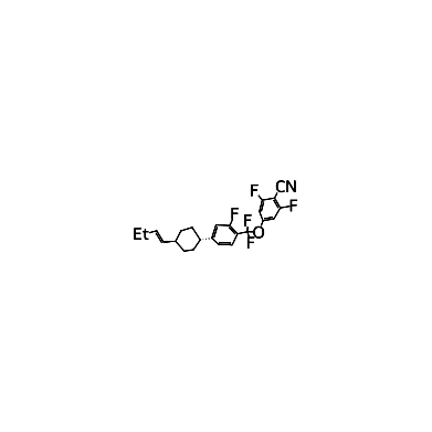 CCC=C[C@H]1CC[C@H](c2ccc(C(F)(F)Oc3cc(F)c(C#N)c(F)c3)c(F)c2)CC1